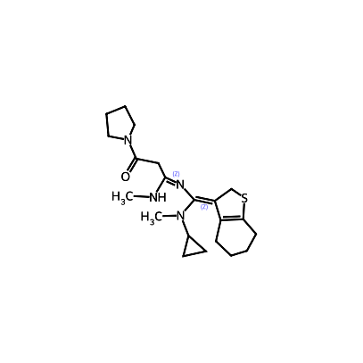 CN/C(CC(=O)N1CCCC1)=N\C(=C1/CSC2=C1CCCC2)N(C)C1CC1